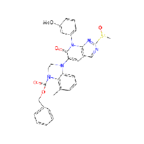 COc1cccc(-n2c(=O)c(N3CCN(C(=O)OCc4ccccc4)c4c(C)cccc43)cc3cnc([S+](C)[O-])nc32)c1